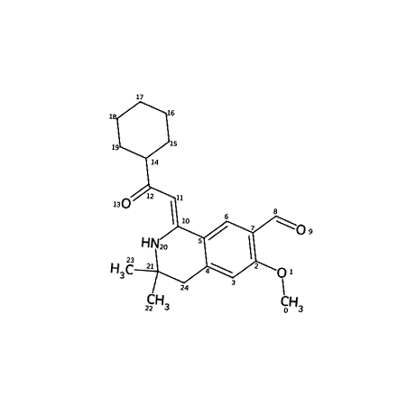 COc1cc2c(cc1C=O)C(=CC(=O)C1CCCCC1)NC(C)(C)C2